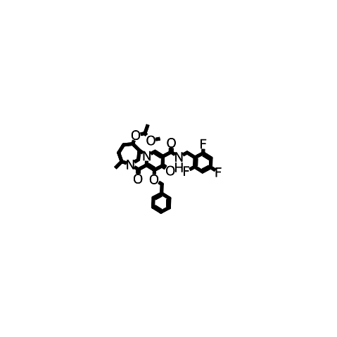 COC(C)OC1CCC(C)N2CC1n1cc(C(=O)NCc3c(F)cc(F)cc3F)c(=O)c(OCc3ccccc3)c1C2=O